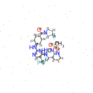 CN(c1ncccc1CNc1nc(Nc2ccc(C(=O)N3CC[C@H](F)C3)cc2)ncc1C(F)(F)F)S(C)(=O)=O